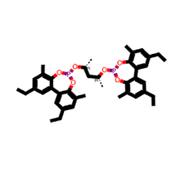 CCc1cc(C)c2op(O[C@H](C)C[C@@H](C)Op3oc4c(C)cc(CC)cc4c4cc(CC)cc(C)c4o3)oc3c(C)cc(CC)cc3c2c1